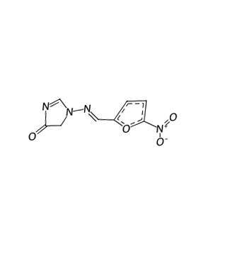 O=C1CN(N=Cc2ccc([N+](=O)[O-])o2)C=N1